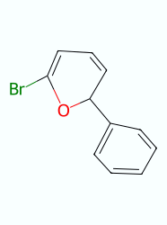 BrC1=CC=CC(c2ccccc2)O1